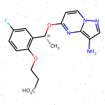 C[C@@H](Oc1ccn2ncc(N)c2n1)c1cc(F)ccc1OCCC(=O)O